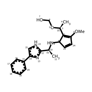 COC1=C([C@H](C)OCO)C(N[C@@H](C)c2nc(-c3ccccc3)c[nH]2)C=C1